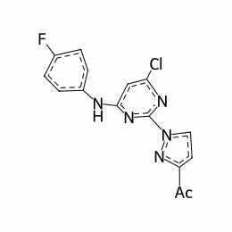 CC(=O)c1ccn(-c2nc(Cl)cc(Nc3ccc(F)cc3)n2)n1